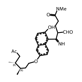 CNC(=O)CCC(C=O)C(=N)c1c(O)ccc2cc(OCC[C@@H](C)[C@H](C)CC(C)=O)ccc12